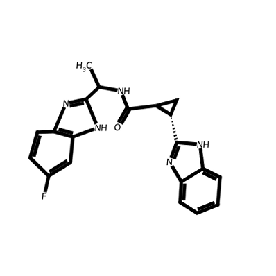 CC(NC(=O)C1C[C@@H]1c1nc2ccccc2[nH]1)c1nc2ccc(F)cc2[nH]1